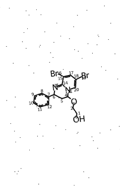 OCCOC1CC(c2ccccc2)N=C2C(Br)=CC(Br)=CN21